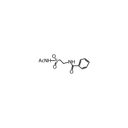 CC(=O)NS(=O)(=O)CCNC(=O)c1ccccc1